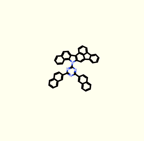 c1ccc2c(c1)-c1cccc3c1c-2cc1c3c2ccc3ccccc3c2n1-c1nc(-c2ccc3ccccc3c2)nc(-c2ccc3ccccc3c2)n1